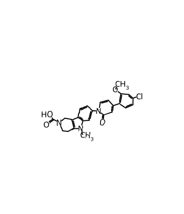 COc1cc(Cl)ccc1-c1ccn(-c2ccc3c4c(n(C)c3c2)CCN(C(=O)O)C4)c(=O)c1